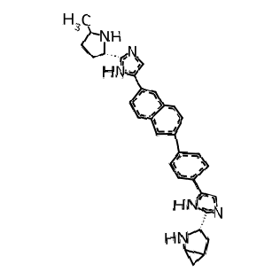 CC1CC[C@@H](c2ncc(-c3ccc4cc(-c5ccc(-c6cnc([C@@H]7CC8CC8N7)[nH]6)cc5)ccc4c3)[nH]2)N1